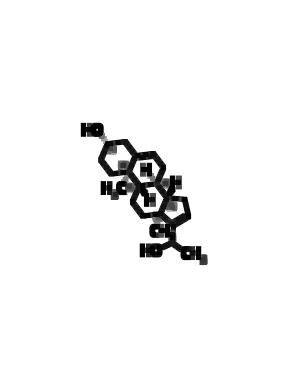 CC(O)C1=CC[C@H]2[C@@H]3CC=C4C[C@@H](O)CC[C@]4(C)[C@H]3CC[C@]12C